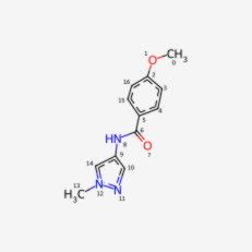 COc1ccc(C(=O)Nc2cnn(C)c2)cc1